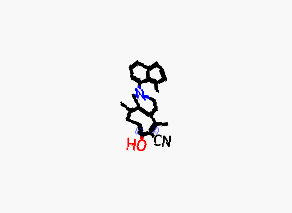 C/C1=C(C#N)/C(O)=C/CC(C)C2=C1CCN(c1cccc3cccc(C)c13)C2